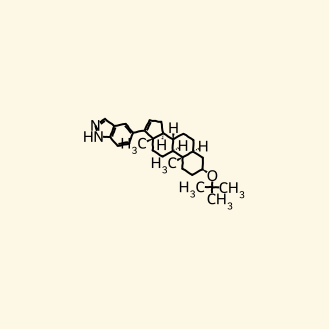 CC(C)(C)O[C@H]1CC[C@@]2(C)[C@@H](CC[C@@H]3[C@@H]2CC[C@]2(C)C(c4ccc5[nH]ncc5c4)=CC[C@@H]32)C1